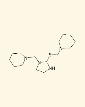 C1CCN(CSC2NCCN2CN2CCCCC2)CC1